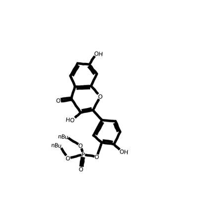 CCCCOP(=O)(OCCCC)Oc1cc(-c2oc3cc(O)ccc3c(=O)c2O)ccc1O